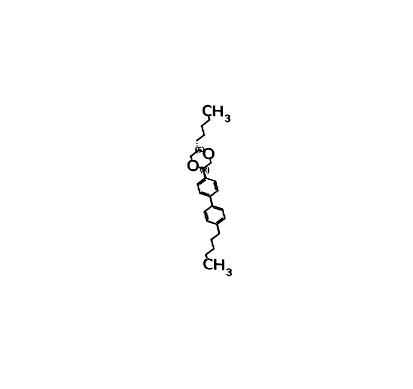 CCCCCc1ccc(-c2ccc([C@@H]3CO[C@@H](CCCCC)CO3)cc2)cc1